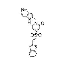 O=C1CN(S(=O)(=O)C=Cc2cc3ccccc3s2)CCN1Cc1cc2cnccc2[nH]1